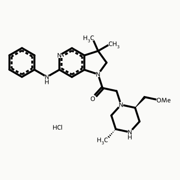 COC[C@H]1CN[C@H](C)CN1CC(=O)N1CC(C)(C)c2cnc(Nc3ccccc3)cc21.Cl